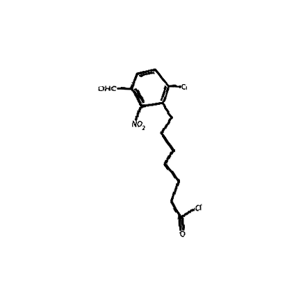 O=Cc1ccc(Cl)c(CCCCCCC(=O)Cl)c1[N+](=O)[O-]